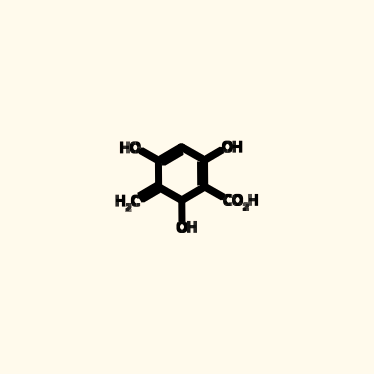 C=C1C(O)=CC(O)=C(C(=O)O)C1O